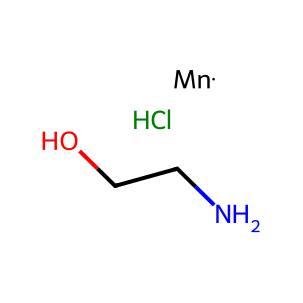 Cl.NCCO.[Mn]